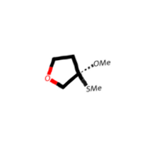 CO[C@@]1(SC)CCOC1